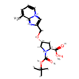 Bc1cccn2cc(CO[C@@H]3C[C@@H](C(=O)O)N(C(=O)OC(C)(C)C)C3)nc12